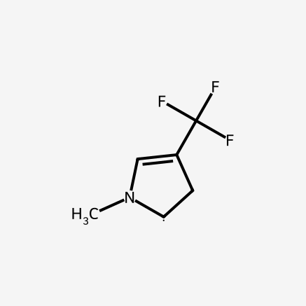 CN1[CH]CC(C(F)(F)F)=C1